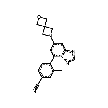 Cc1cc(C#N)ccc1-c1cc(N2CC3(COC3)C2)cc2ncnn12